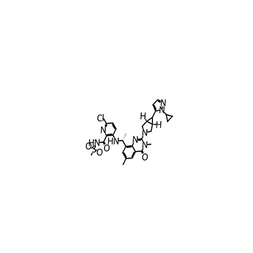 Cc1cc([C@@H](C)Nc2ccc(Cl)nc2C(=O)NS(C)(=O)=O)c2nc(N3C[C@@H]4C(c5ccnn5C5CC5)[C@@H]4C3)n(C)c(=O)c2c1